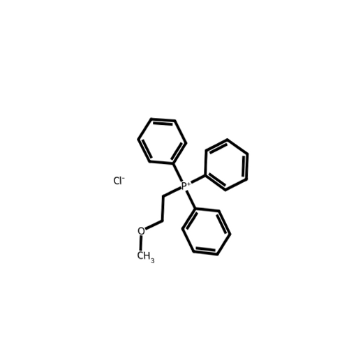 COCC[P+](c1ccccc1)(c1ccccc1)c1ccccc1.[Cl-]